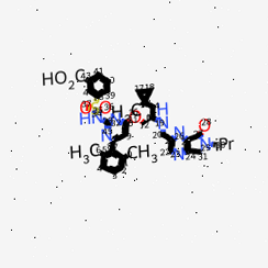 Cc1cccc(C)c1-c1cc(OC[C@@H](CC2(C)CC2)NCc2cnc3c(n2)C(=O)N(C(C)C)C3)nc(NS(=O)(=O)c2cccc(C(=O)O)c2)n1